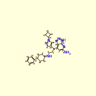 Nc1cc(C(CCNC2CCC(c3ccccc3)CC2)c2cnn(C3CCC3)c2)c2nn[nH]c2n1